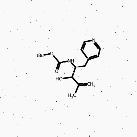 C=C(C)C(O)[C@H](Cc1ccncc1)NC(=O)OC(C)(C)C